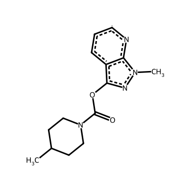 CC1CCN(C(=O)Oc2nn(C)c3n[c]ccc23)CC1